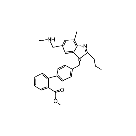 CCCc1nc2c(C)cc(CNC)cc2n1Cc1ccc(-c2ccccc2C(=O)OC)cc1